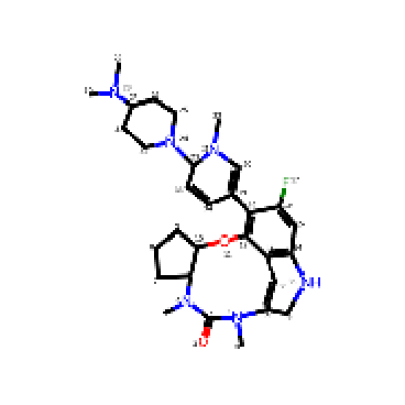 CN1C(=O)N(C)C2CCCC2Oc2c3c(cc(F)c2C2=CN(C)C(N4CCC(N(C)C)CC4)C=C2)NCC1=C3